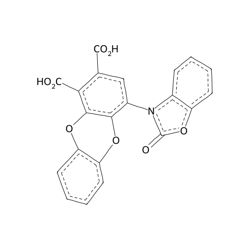 O=C(O)c1cc(-n2c(=O)oc3ccccc32)c2c(c1C(=O)O)Oc1ccccc1O2